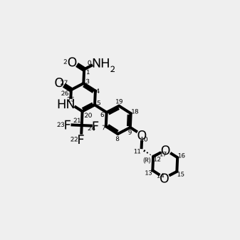 NC(=O)c1cc(-c2ccc(OC[C@H]3COCCO3)cc2)c(C(F)(F)F)[nH]c1=O